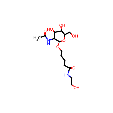 CC(=O)NC1C(O)[C@@H](O)C(CO)O[C@H]1OCCCCC(=O)NCCO